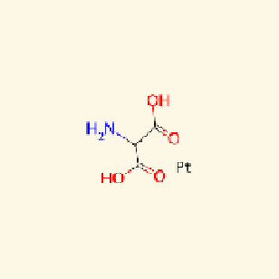 NC(C(=O)O)C(=O)O.[Pt]